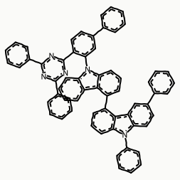 c1ccc(-c2ccc(-c3nc(-c4ccccc4)nc(-c4ccccc4)n3)c(-n3c4ccccc4c4c(-c5cccc6c5c5cc(-c7ccccc7)ccc5n6-c5ccccc5)cccc43)c2)cc1